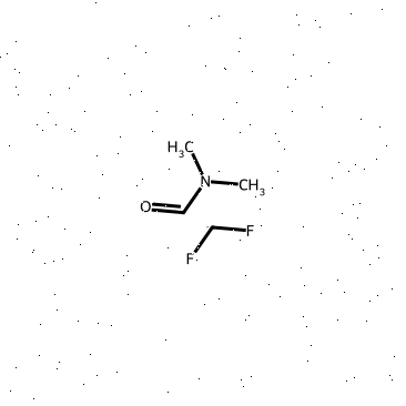 CN(C)C=O.F[CH]F